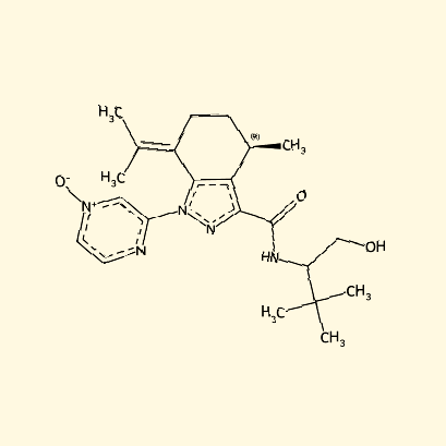 CC(C)=C1CC[C@@H](C)c2c(C(=O)NC(CO)C(C)(C)C)nn(-c3c[n+]([O-])ccn3)c21